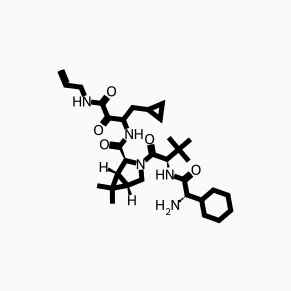 C=CCNC(=O)C(=O)C(CC1CC1)NC(=O)[C@@H]1[C@@H]2[C@H](CN1C(=O)[C@@H](NC(=O)[C@@H](N)C1CCCCC1)C(C)(C)C)C2(C)C